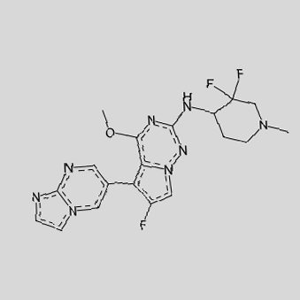 COc1nc(NC2CCN(C)CC2(F)F)nn2cc(F)c(-c3cnc4nccn4c3)c12